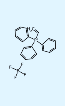 C=C[P+](c1ccccc1)(c1ccccc1)c1ccccc1.F[B-](F)(F)F